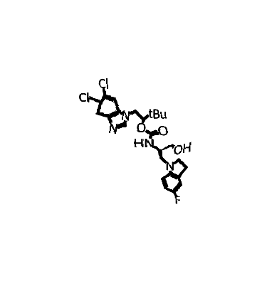 CC(C)(C)C(Cn1cnc2c1C=C(Cl)C(Cl)C2)OC(=O)N[C@@H](CO)CN1CCc2cc(F)ccc21